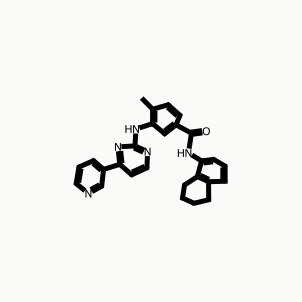 Cc1ccc(C(=O)Nc2cccc3c2CCCC3)cc1Nc1nccc(-c2cccnc2)n1